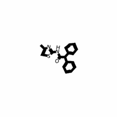 Cc1csc(NC(=O)C(c2ccccc2)c2ccccc2)n1